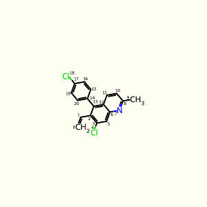 C=Cc1c(Cl)cc2nc(C)ccc2c1-c1ccc(Cl)cc1